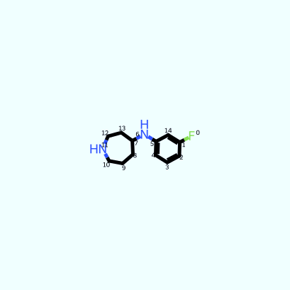 Fc1cccc(NC2CCCNCC2)c1